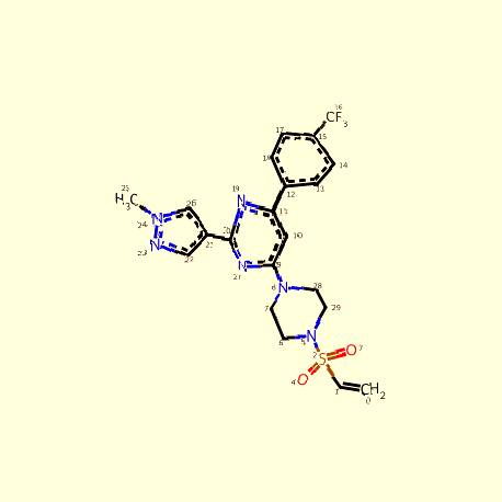 C=CS(=O)(=O)N1CCN(c2cc(-c3ccc(C(F)(F)F)cc3)nc(-c3cnn(C)c3)n2)CC1